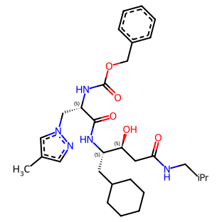 Cc1cnn(C[C@H](NC(=O)OCc2ccccc2)C(=O)N[C@@H](CC2CCCCC2)[C@@H](O)CC(=O)NCC(C)C)c1